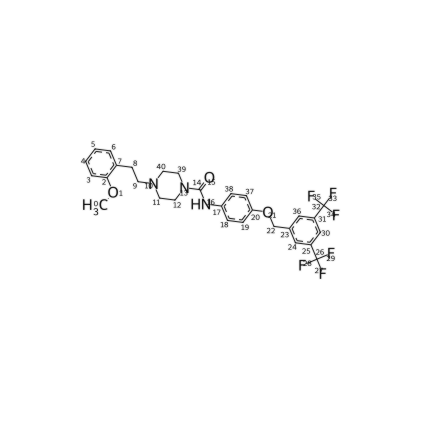 COc1ccccc1CCN1CCN(C(=O)Nc2ccc(OCc3cc(C(F)(F)F)cc(C(F)(F)F)c3)cc2)CC1